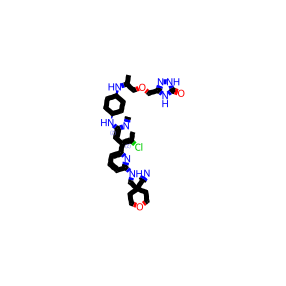 C=N/C(=C\C(=C(/C)Cl)c1cccc(NCC2(C#N)CCOCC2)n1)N[C@H]1CC[C@H](NC(C)COCc2n[nH]c(=O)[nH]2)CC1